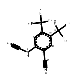 N#CNc1cc(C(F)(F)F)c(C(F)(F)F)cc1C#N